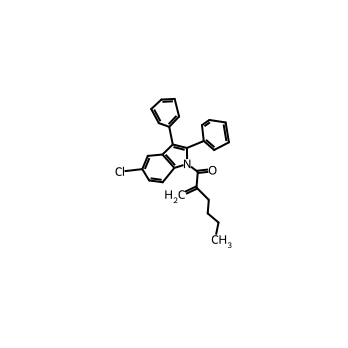 C=C(CCCC)C(=O)n1c(-c2ccccc2)c(-c2ccccc2)c2cc(Cl)ccc21